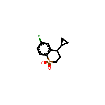 O=S1(=O)CCC(C2CC2)c2cc(F)ccc21